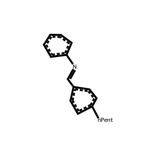 CCCCCc1ccc(/C=N/c2ccccc2)cc1